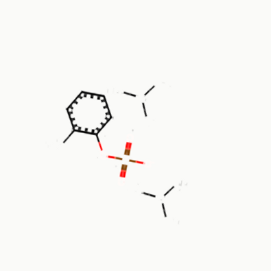 CCC[CH2][Sn+]([CH2]CCC)[CH2]CCC.CCC[CH2][Sn+]([CH2]CCC)[CH2]CCC.O=C([O-])c1ccccc1OS(=O)(=O)[O-]